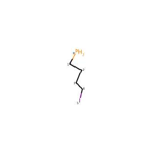 PCCCCI